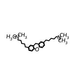 CN(C)CCCCCc1ccc2c(c1)Cc1cc(CCCCCN(C)C)ccc1O2